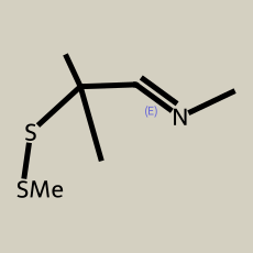 C/N=C/C(C)(C)SSC